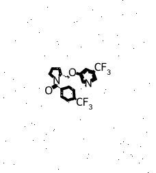 O=C([C@H]1CC[C@H](C(F)(F)F)CC1)N1CCC[C@@H]1COc1cncc(C(F)(F)F)c1